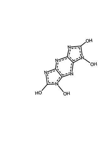 Oc1nc2nc3nc(O)n(O)c3nc2n1O